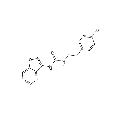 O=C(NSCc1ccc(Cl)cc1)Nc1noc2ccccc12